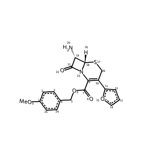 COc1ccc(COC(=O)C2=C(c3ccco3)CS[C@H]3[C@@H](N)C(=O)N23)cc1